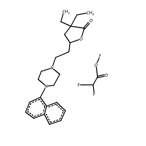 CCC1(CC)CC(CCN2CCN(c3cccc4ccccc34)CC2)OC1=O.O=C(OF)C(F)F